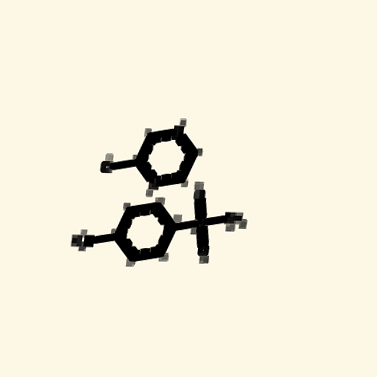 Clc1cnccn1.Nc1ccc(S(N)(=O)=O)cc1